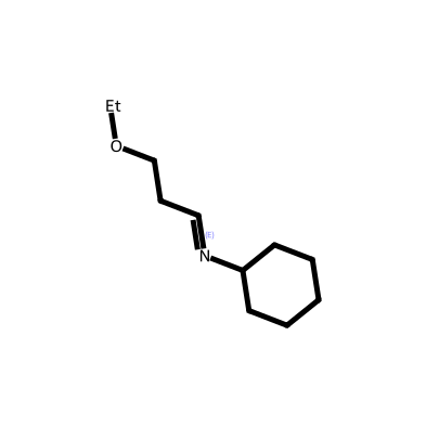 CCOCC/C=N/C1CCCCC1